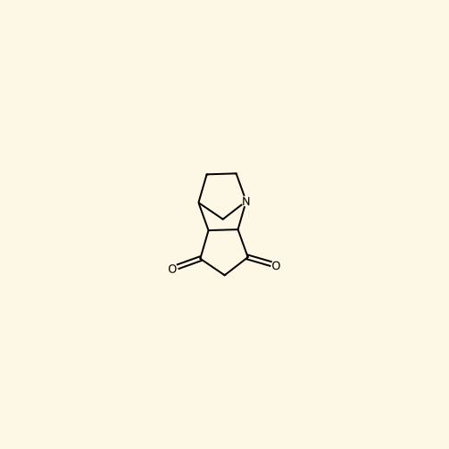 O=C1CC(=O)C2C1C1CCN2C1